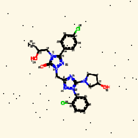 O=c1n(Cc2nc(N3CCC(O)C3)n(-c3ccccc3Cl)n2)nc(-c2ccc(Cl)cc2)n1CC(O)C(F)(F)F